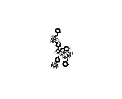 CC(c1ccnc(NS(=O)(=O)NCc2ccccc2)c1)C1(C(C)c2ccnc(NS(=O)(=O)NCc3ccccc3)c2)NC(=O)N(c2ccc(S(=O)(=O)C(F)(F)F)cc2)C1=O